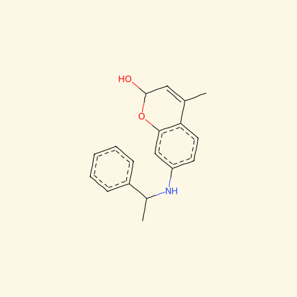 CC1=CC(O)Oc2cc(NC(C)c3ccccc3)ccc21